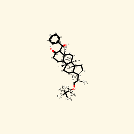 C[C@@H](CO[Si](C)(C)C(C)(C)C)[C@H]1CC[C@H]2[C@@H]3CC[C@H]4C(C(=O)c5ccccc5)C(=O)CC[C@]4(C)[C@H]3CC[C@]12C